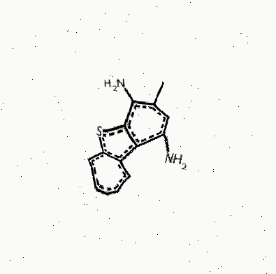 Cc1cc(N)c2c(sc3ccccc32)c1N